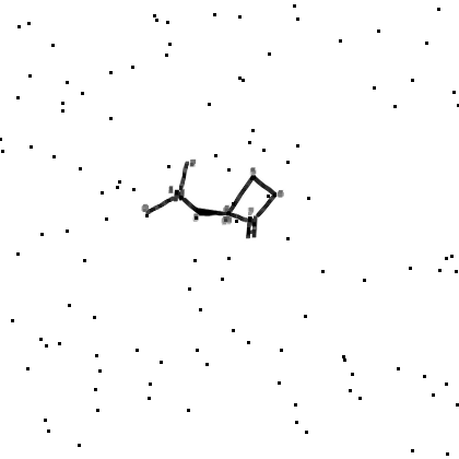 CN(C)C[C@H]1CCN1